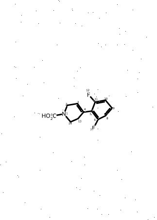 O=C(O)N1CC=C(c2c(F)cccc2F)CC1